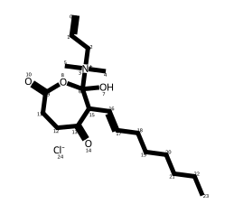 C=CC[N+](C)(C)C1(O)OC(=O)CCC(=O)C1C=CCCCCCC.[Cl-]